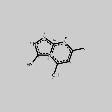 Cc1cc(O)n2c(S)nnc2n1